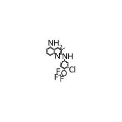 Cc1cc2c(N)cccc2nc1Nc1ccc(OC(F)(F)F)c(Cl)c1